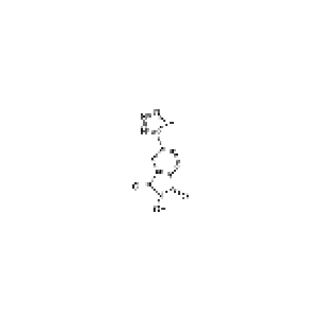 O=C1c2ccc(-c3nnn[nH]3)cc2C(=O)N1O